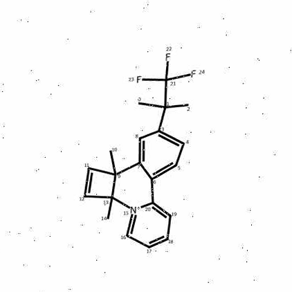 CC(C)(c1ccc2c(c1)C1(C)C=CC1(C)[n+]1ccccc1-2)C(F)(F)F